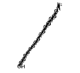 [N-]=[N+]=NCCOCCOCCOCCOCCOCCOCCOCCOCCOCCOCCOCCOCCOCCOCCOCCO